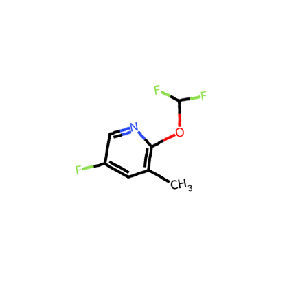 Cc1cc(F)cnc1OC(F)F